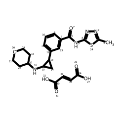 Cc1nnc(NC(=O)c2cccc(C3CC3NC3CCOCC3)c2)s1.O=C(O)/C=C/C(=O)O